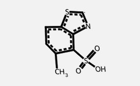 Cc1ccc2s[c]nc2c1S(=O)(=O)O